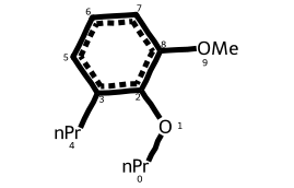 CCCOc1c(CCC)cccc1OC